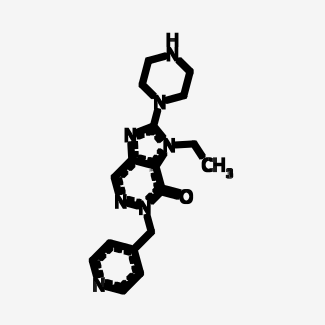 CCn1c(N2CCNCC2)nc2cnn(Cc3ccncc3)c(=O)c21